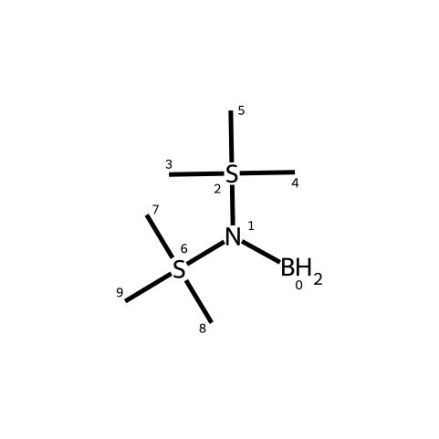 BN(S(C)(C)C)S(C)(C)C